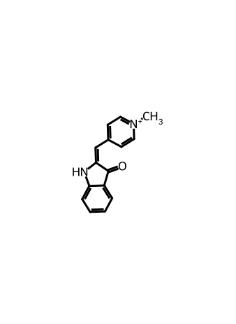 C[n+]1ccc(C=C2Nc3ccccc3C2=O)cc1